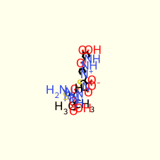 CC(C)(ON=C(C(=O)N[C@@H]1C(=O)N2C(C(=O)[O-])=C(C[n+]3cccc(NC(=O)c4cc(=O)c(O)c[nH]4)c3)CS[C@@H]12)c1nsc(N)n1)C(=O)O